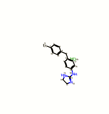 CCc1ccc(Cc2ccc(NC3=NCCN3)cc2)cc1.Cl